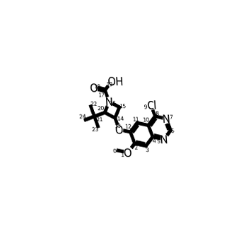 COc1cc2ncnc(Cl)c2cc1OC1CN(C(=O)O)C1C(C)(C)C